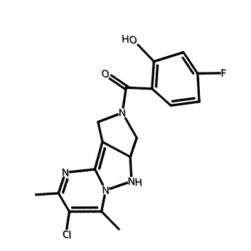 CC1=NC2=C3CN(C(=O)c4ccc(F)cc4O)CC3NN2C(C)=C1Cl